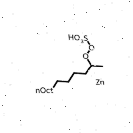 CCCCCCCCCCCCC(C)OOS(=O)(=O)O.[Zn]